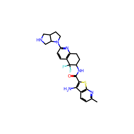 Cc1ccc2c(N)c(C(=O)NC3CCc4nc(N5CCC6CNCC65)ccc4C3(F)F)sc2n1